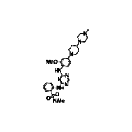 CNS(=O)(=O)c1ccccc1Nc1ncnc(Nc2ccc(N3CCC(N4CCN(C)CC4)CC3)cc2OC)n1